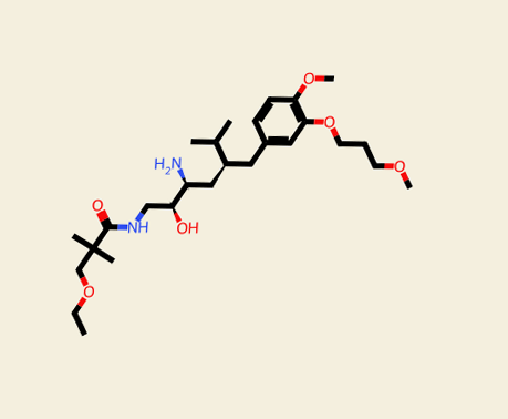 CCOCC(C)(C)C(=O)NC[C@H](O)[C@@H](N)C[C@H](Cc1ccc(OC)c(OCCCOC)c1)C(C)C